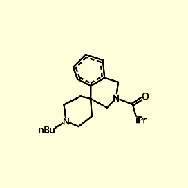 CCCCN1CCC2(CC1)CN(C(=O)C(C)C)Cc1ccccc12